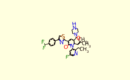 CCc1ncc(F)cc1-n1c(C=C(C)C)c(C(=O)N2CCNCC2)cc(-c2nc(-c3ccc(C(F)F)cc3)cs2)c1=O